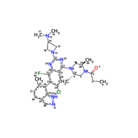 CCC(=O)N1C[C@H](C)N(c2nc(N3CC(N(C)C)C3)nc3c(F)c(-c4c(C)ccc5cn[nH]c45)c(Cl)cc23)C[C@H]1C